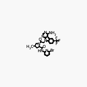 CC1CC(C(=O)Nc2cccc(Br)n2)N(C(=O)Cn2c3ccc(C(F)(F)F)cc3c3c(N)ncnc32)C1